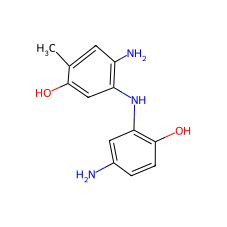 Cc1cc(N)c(Nc2cc(N)ccc2O)cc1O